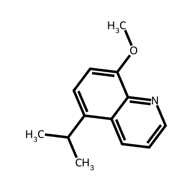 COc1ccc(C(C)C)c2cccnc12